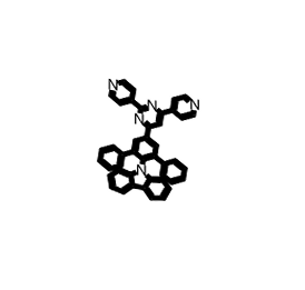 c1ccc(-c2cc(-c3cc(-c4ccncc4)nc(-c4ccncc4)n3)cc(-c3ccccc3)c2-n2c3ccccc3c3ccccc32)cc1